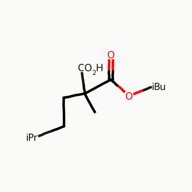 CCC(C)OC(=O)C(C)(CCC(C)C)C(=O)O